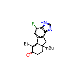 CCCCC12CCC(=O)C(CC)=C1c1cc(F)c3[nH]cnc3c1C2